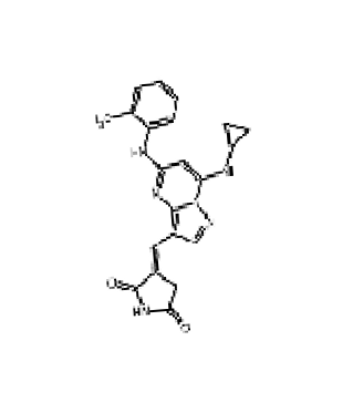 Cc1ccccc1Nc1cc(NC2CC2)n2ncc(/C=C3\CC(=O)NC3=O)c2n1